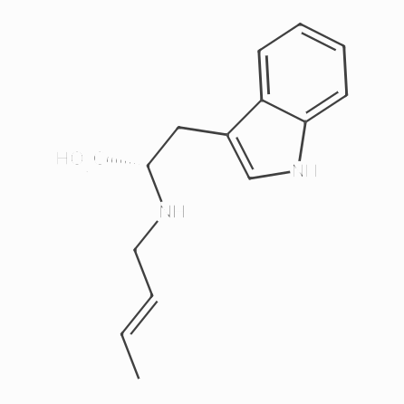 C/C=C/CN[C@@H](Cc1c[nH]c2ccccc12)C(=O)O